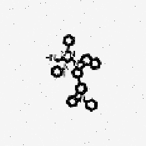 N=Cc1nc(-c2ccccc2)nc(-n2c3ccc(-c4ccc5c(c4)c4ccccc4n5C4C=CC=CC4)cc3c3c4ccccc4ccc32)c1Nc1ccccc1